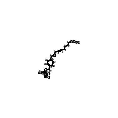 CCCCCCCCCCCCCCC#CCOCc1ccc(CO[Si](CC)(CC)C(C)(C)C)cc1